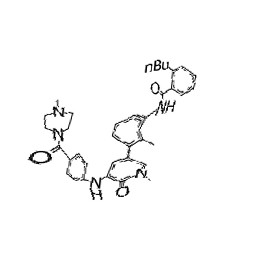 CCCCc1ccccc1C(=O)Nc1cccc(-c2cc(Nc3ccc(C(=O)N4CCN(C)CC4)cc3)c(=O)n(C)c2)c1C